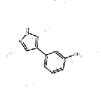 Cc1cccc(-c2cn[nH]c2)c1